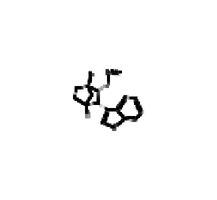 CNC[C@H]1[C@H]2CC[C@H](C2)[C@H]1c1csc2ccccc12